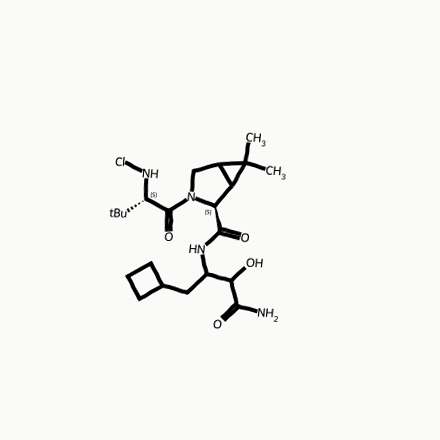 CC1(C)C2CN(C(=O)[C@@H](NCl)C(C)(C)C)[C@H](C(=O)NC(CC3CCC3)C(O)C(N)=O)C21